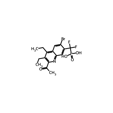 CCc1c(C(C)=O)nc2cc(C(F)(F)P(=O)(O)O)c(Br)cc2c1CC